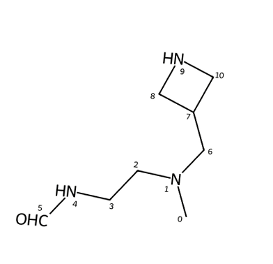 CN(CCNC=O)CC1CNC1